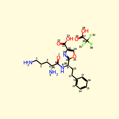 NCCC[C@@H](N)C(=O)N[C@H](CCc1ccccc1)c1nc(C(=O)O)co1.O=C(O)C(F)(F)F